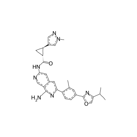 Cc1cc(-c2nc(C(C)C)co2)ccc1-c1cc2cc(NC(=O)[C@@H]3C[C@H]3c3cnn(C)c3)ncc2c(N)n1